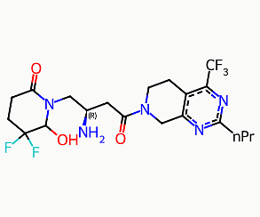 CCCc1nc2c(c(C(F)(F)F)n1)CCN(C(=O)C[C@@H](N)CN1C(=O)CCC(F)(F)C1O)C2